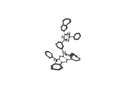 c1ccc(-c2nc(-c3cccc(N4c5ccccc5C5CC6c7ccccc7N(c7ccccc7)C6CC54)c3)nc(-c3ccc4ccccc4c3)n2)cc1